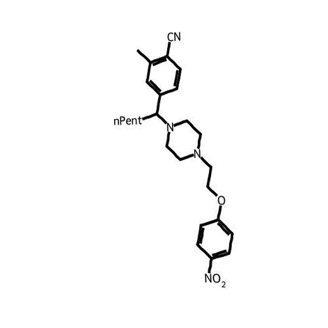 CCCCCC(c1ccc(C#N)c(C)c1)N1CCN(CCOc2ccc([N+](=O)[O-])cc2)CC1